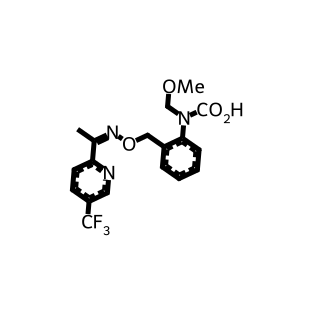 COCN(C(=O)O)c1ccccc1CO/N=C(/C)c1ccc(C(F)(F)F)cn1